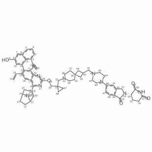 C#Cc1cccc2cc(O)cc(-c3c(C=C)cc4c(N5CC6CCC(C5)N6)nc(OCC5(CN6CCC7(CC6)CC(CN6CCN(c8ccc9c(c8)CN([C@H]8CCC(=O)NC8=O)C9=O)CC6)C7)CC5)nc4c3F)c12